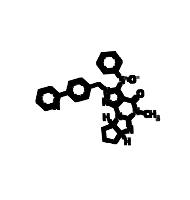 CN1C(=O)c2c(nn(Cc3ccc(-c4ccccn4)cc3)c2[S+]([O-])c2ccccc2)N2C1=N[C@@H]1CCC[C@@H]12